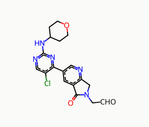 O=CCN1Cc2ncc(-c3nc(NC4CCOCC4)ncc3Cl)cc2C1=O